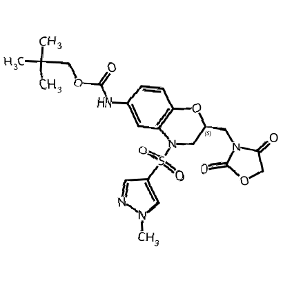 Cn1cc(S(=O)(=O)N2C[C@H](CN3C(=O)COC3=O)Oc3ccc(NC(=O)OCC(C)(C)C)cc32)cn1